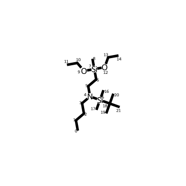 CCCCN(CC[Si](C)(OCC)OCC)[Si](C)(C)C(C)(C)C